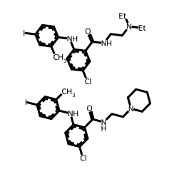 CCN(CC)CCNC(=O)c1cc(Cl)ccc1Nc1ccc(I)cc1C.Cc1cc(I)ccc1Nc1ccc(Cl)cc1C(=O)NCCN1CCCCC1